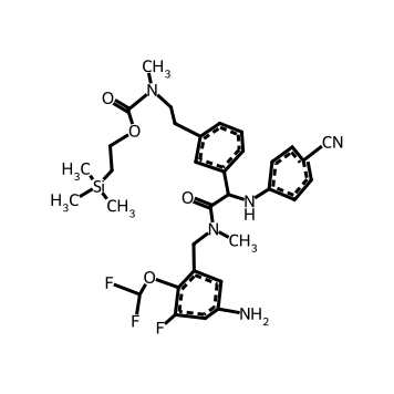 CN(CCc1cccc(C(Nc2ccc(C#N)cc2)C(=O)N(C)Cc2cc(N)cc(F)c2OC(F)F)c1)C(=O)OCC[Si](C)(C)C